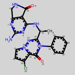 C[C@H](Nc1nc(N)nc2c1C(=O)NC2)c1nn2ccc(Cl)c2c(=O)n1-c1ccccc1